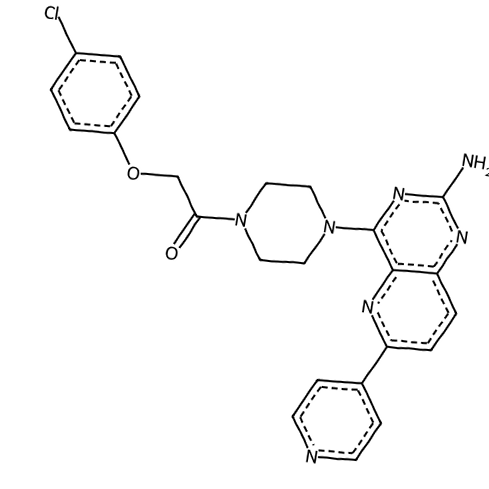 Nc1nc(N2CCN(C(=O)COc3ccc(Cl)cc3)CC2)c2nc(-c3ccncc3)ccc2n1